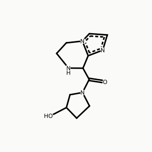 O=C(C1NCCn2ccnc21)N1CCC(O)C1